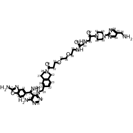 N=C(c1ccc2oc(N)nc2c1)c1c(N)ncnc1NCc1ccc2c(c1)CCN(C(=O)CCOCCOCCNC(=O)CNCC(=O)N1CCN(c3ncc(CN)cn3)CC1)C2